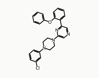 Clc1cccc(N2CCN(c3cncc(-c4ccccc4Oc4ccccc4)n3)CC2)c1